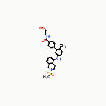 Cc1ccc(Nc2cccc3c2CCN(S(C)(=O)=O)C3)cc1-c1ccc(C(=O)NCCO)cc1